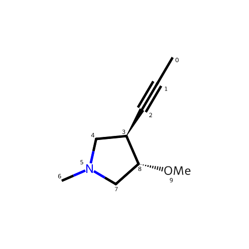 CC#C[C@@H]1CN(C)C[C@H]1OC